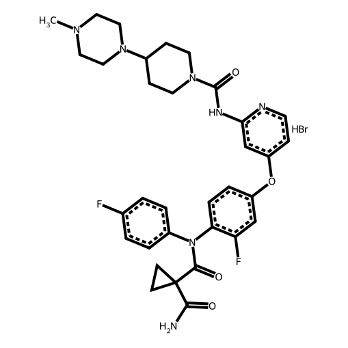 Br.CN1CCN(C2CCN(C(=O)Nc3cc(Oc4ccc(N(C(=O)C5(C(N)=O)CC5)c5ccc(F)cc5)c(F)c4)ccn3)CC2)CC1